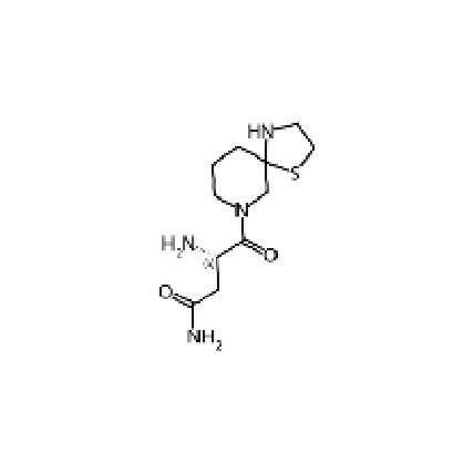 NC(=O)C[C@H](N)C(=O)N1CCCC2(C1)NCCS2